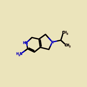 CC(C)N1CC2=C(CNC(N)=C2)C1